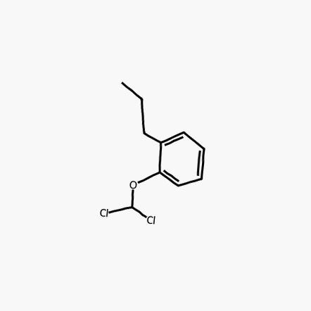 CCCc1ccccc1OC(Cl)Cl